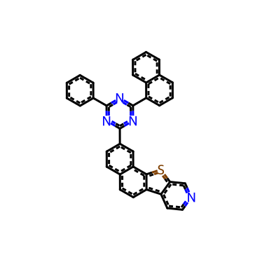 c1ccc(-c2nc(-c3ccc4ccc5c6ccncc6sc5c4c3)nc(-c3cccc4ccccc34)n2)cc1